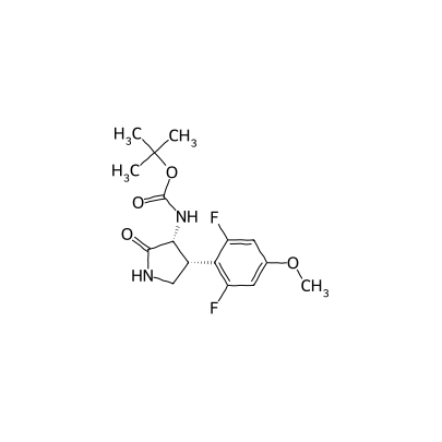 COc1cc(F)c([C@@H]2CNC(=O)[C@@H]2NC(=O)OC(C)(C)C)c(F)c1